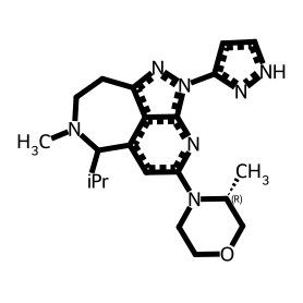 CC(C)C1c2cc(N3CCOC[C@H]3C)nc3c2c(nn3-c2cc[nH]n2)CCN1C